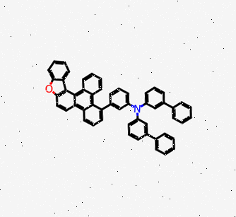 c1ccc(-c2cccc(N(c3cccc(-c4ccccc4)c3)c3cccc(-c4cccc5c6ccc7oc8ccccc8c7c6c6ccccc6c45)c3)c2)cc1